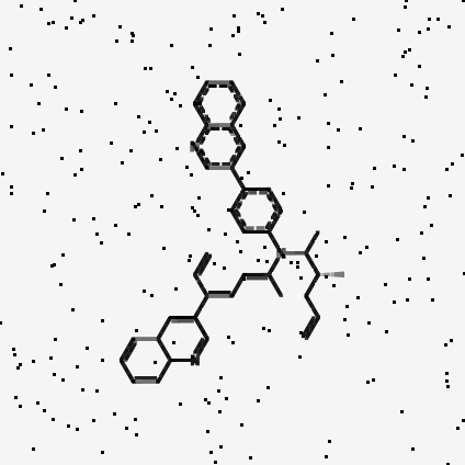 C=CC[C@@H](C)C(C)N(/C(C)=C/C=C(\C=C)C1=CC2C=CC=CC2N=C1)c1ccc(-c2cnc3ccccc3c2)cc1